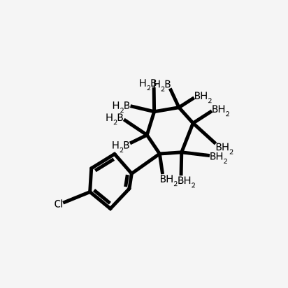 BC1(B)C(B)(B)C(B)(B)C(B)(c2ccc(Cl)cc2)C(B)(B)C1(B)B